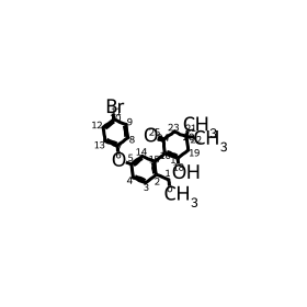 CCc1ccc(Oc2ccc(Br)cc2)cc1C1=C(O)CC(C)(C)CC1=O